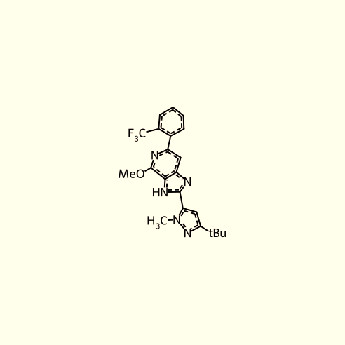 COc1nc(-c2ccccc2C(F)(F)F)cc2nc(-c3cc(C(C)(C)C)nn3C)[nH]c12